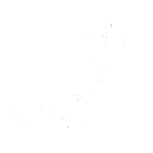 CCCOC(=O)[C@H](C)NP(=O)(Oc1ccccc1)C(F)c1ccc2sc(C(=O)N[C@H]3C[C@H](C)C[C@H]4CC[C@@H](C(=O)N5CC(c6cnccc6F)C5)N4C3=O)cc2c1